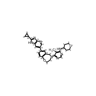 Cc1c(NC2CCOCC2)ncnc1N1CCOc2ccc(-c3cnc4nc(C5CC5)[nH]c4c3)cc2C1